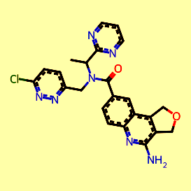 CC(c1ncccn1)N(Cc1ccc(Cl)nn1)C(=O)c1ccc2nc(N)c3c(c2c1)COC3